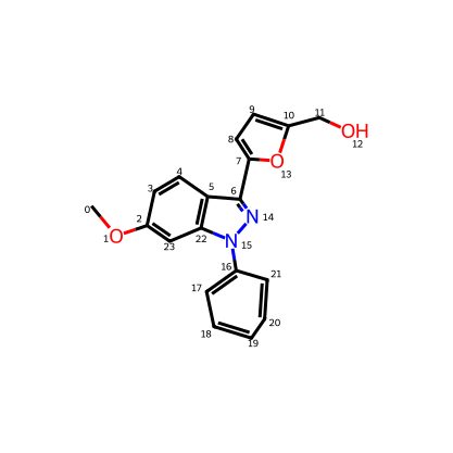 COc1ccc2c(-c3ccc(CO)o3)nn(-c3ccccc3)c2c1